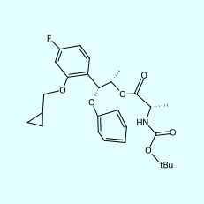 C[C@H](NC(=O)OC(C)(C)C)C(=O)O[C@@H](C)[C@H](Oc1ccccc1)c1ccc(F)cc1OCC1CC1